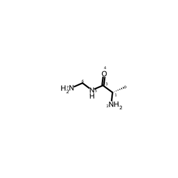 C[C@H](N)C(=O)NCN